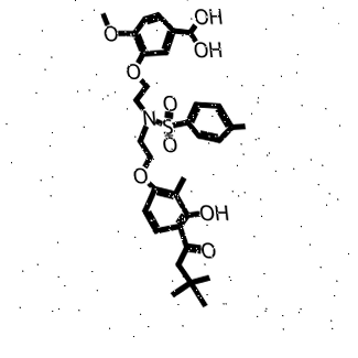 COc1ccc(C(O)O)cc1OCCN(CCOc1ccc(C(=O)CC(C)(C)C)c(O)c1C)S(=O)(=O)c1ccc(C)cc1